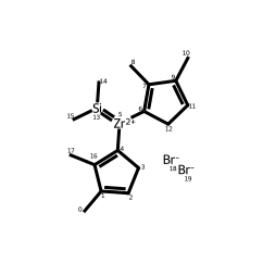 CC1=CC[C]([Zr+2]([C]2=C(C)C(C)=CC2)=[Si](C)C)=C1C.[Br-].[Br-]